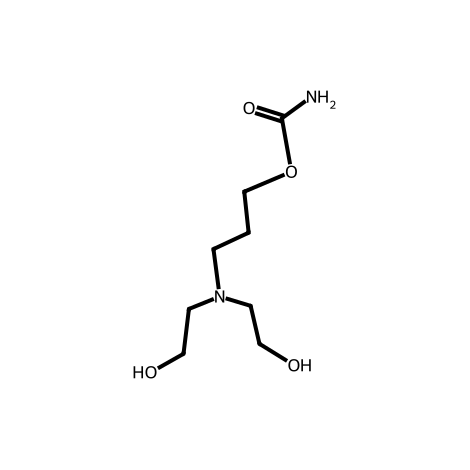 NC(=O)OCCCN(CCO)CCO